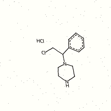 Cl.ClCC(c1ccccc1)N1CCNCC1